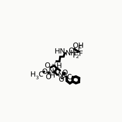 COC(=O)N1C(=O)[C@H](CCCCC(=N)N)[C@@H]2CN(S(=O)(=O)c3ccc4ccccc4c3)C[C@H]21.O=C(O)C(F)(F)F